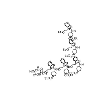 CCOCCn1c(NC2CCN(C(=O)OCC)CC2)nc2cnccc21.CCOCCn1c(NC2CCN(C(=O)OCC)CC2)nc2cnccc21.CCOCCn1c(NC2CCN(C(=O)OCC)CC2)nc2cnccc21.CCOCCn1c(NC2CCN(C(=O)OCC)CC2)nc2cnccc21.CCOCCn1c(NC2CCN(C(=O)OCC)CC2)nc2cnccc21.O=C(O)C(=O)O.O=C(O)C(=O)O